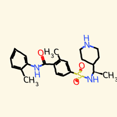 Cc1ccccc1NC(=O)c1ccc(S(=O)(=O)N[C@H](C)C2CCNCC2)cc1C